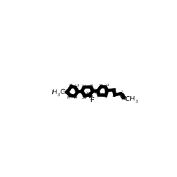 C/C=C/CCC1CCC(C2CCC(C3CCC(C)CC3)CC2F)CC1